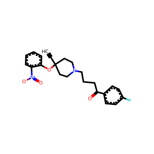 C#CC1(Oc2ccccc2[N+](=O)[O-])CCN(CCCC(=O)c2ccc(F)cc2)CC1